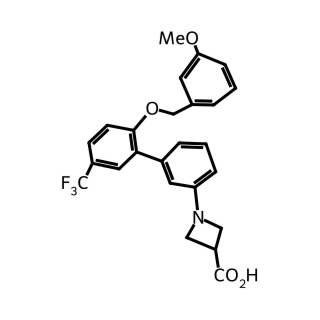 COc1cccc(COc2ccc(C(F)(F)F)cc2-c2cccc(N3CC(C(=O)O)C3)c2)c1